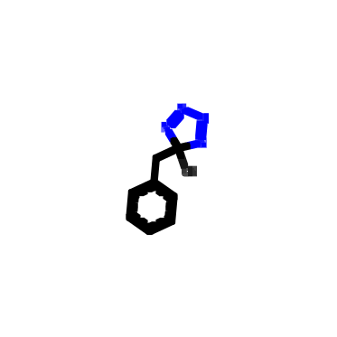 N#CC1(Cc2ccccc2)N=NN=N1